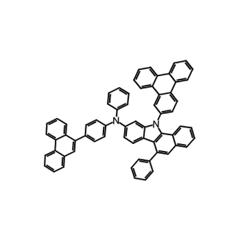 c1ccc(-c2cc3ccccc3c3c2c2ccc(N(c4ccccc4)c4ccc(-c5cc6ccccc6c6ccccc56)cc4)cc2n3-c2ccc3c4ccccc4c4ccccc4c3c2)cc1